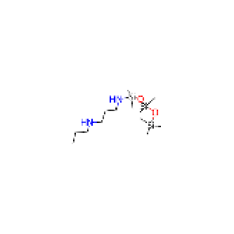 CCCNCCCN[Si](C)(C)O[Si](C)(C)O[Si](C)(C)C